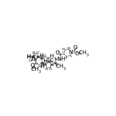 COC(=O)N1CCC(C(=O)NC[C@@H](C)[C@H]2CC[C@H]3[C@@H]4CC(OC)[C@@]56C[C@H]5CC[C@]6(C)[C@H]4CC[C@]23C)CC1